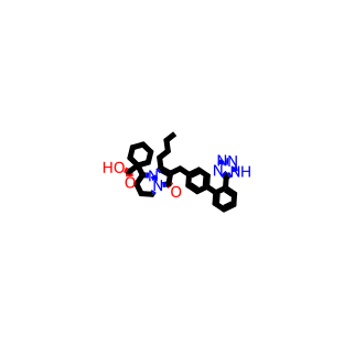 CCCCc1c(Cc2ccc(-c3ccccc3-c3nnn[nH]3)cc2)c(=O)n2n1C(C1(C(=O)O)CCCCC1)CCC2